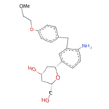 COCCOc1ccc(Cc2cc([C@H]3CC(O)C[C@@H](CO)O3)ccc2N)cc1